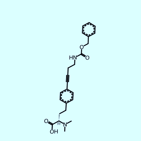 CN(C)[C@@H](CCc1ccc(C#CCCNC(=O)OCc2ccccc2)cc1)C(=O)O